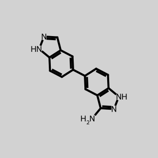 Nc1n[nH]c2ccc(-c3ccc4[nH]ncc4c3)cc12